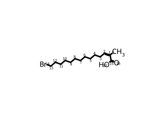 CC(=CCCCCCCCCCCCBr)C(=O)O